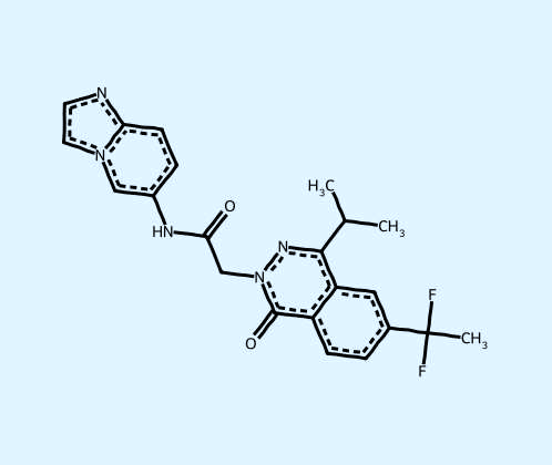 CC(C)c1nn(CC(=O)Nc2ccc3nccn3c2)c(=O)c2ccc(C(C)(F)F)cc12